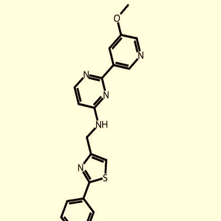 COc1cncc(-c2nccc(NCc3csc(-c4ccccc4)n3)n2)c1